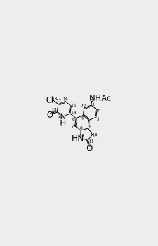 CC(=O)Nc1cccc(/C(=C\[C@H]2CCC(=O)N2)c2ccc(Cl)c(=O)[nH]2)c1